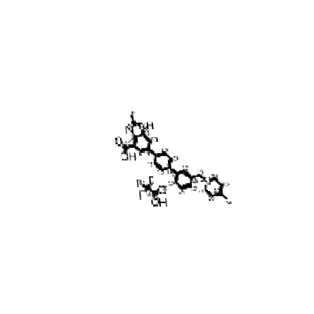 Cc1nc2c(C(=O)O)cc(-c3ccc(-c4cccc(CN5CCC(C)CC5)c4)cc3)cc2[nH]1.O=C(O)C(F)(F)F